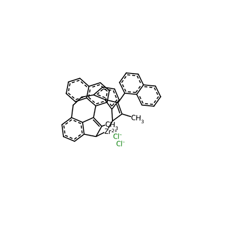 CC1=C(c2cccc3ccccc23)c2c3cccc2[CH]1[Zr+2][CH]1C(C)=C(c2cccc4ccccc24)c2c(cccc21)CC3.[Cl-].[Cl-]